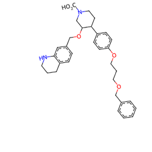 O=C(O)N1CCC(c2ccc(OCCCOCc3ccccc3)cc2)C(OCc2ccc3c(c2)NCCC3)C1